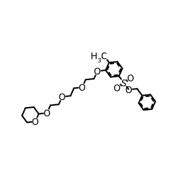 Cc1ccc(S(=O)(=O)OCc2ccccc2)cc1OCCOCCOCCOC1CCCCO1